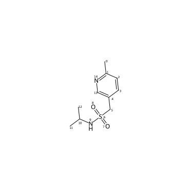 Cc1ccc(CS(=O)(=O)NC(C)C)cn1